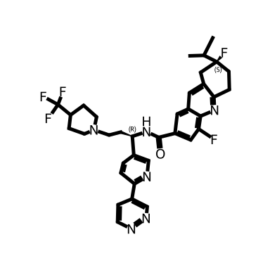 CC(C)[C@]1(F)CCc2nc3c(F)cc(C(=O)N[C@H](CCN4CCC(C(F)(F)F)CC4)c4ccc(-c5ccnnc5)nc4)cc3cc2C1